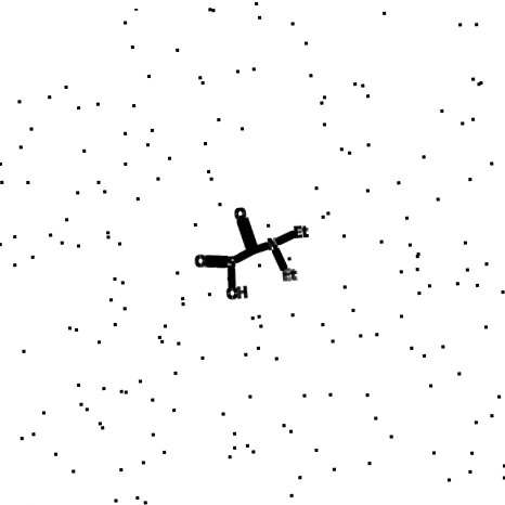 CCN(CC)C(=O)S(=O)O